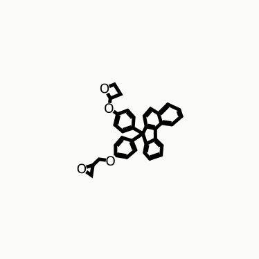 c1ccc2c(c1)-c1c(ccc3ccccc13)C2(c1ccc(OCC2CO2)cc1)c1ccc(OC2CCO2)cc1